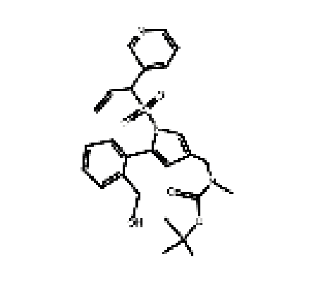 C=CC(c1cccnc1)S(=O)(=O)n1cc(CN(C)C(=O)OC(C)(C)C)cc1-c1ccccc1CO